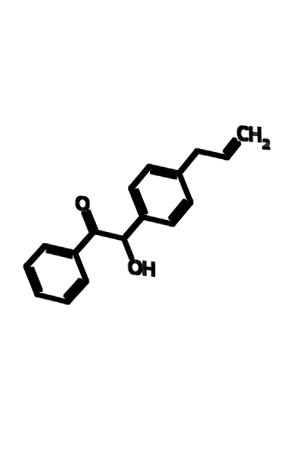 C=CCc1ccc(C(O)C(=O)c2ccccc2)cc1